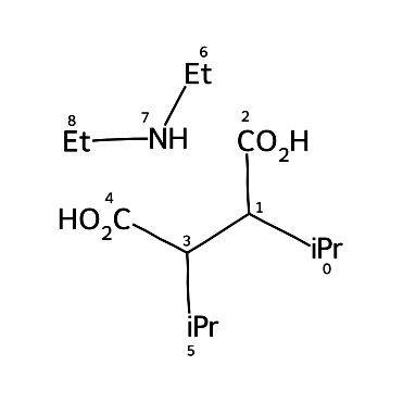 CC(C)C(C(=O)O)C(C(=O)O)C(C)C.CCNCC